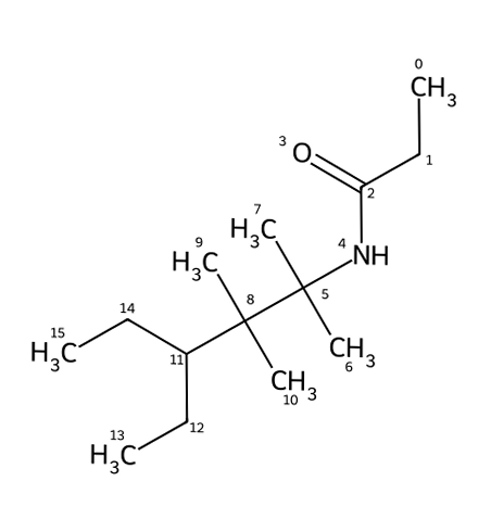 CCC(=O)NC(C)(C)C(C)(C)C(CC)CC